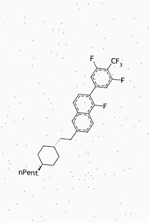 CCCCC[C@H]1CC[C@H](CCc2ccc3c(F)c(-c4cc(F)c(C(F)(F)F)c(F)c4)ccc3c2)CC1